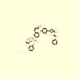 COc1ccc(CN(c2ccon2)S(=O)(=O)c2ccc3c(ccc(=O)n3-c3cc(Cl)c(C4CC(OC(=S)Oc5ccccc5)(C(F)(F)F)C4)cc3OC)c2)cc1